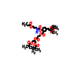 C=CC(=O)OCCCNC(=O)OC1CCC(CC[Si](OC)(OC)OC)CC1C(=O)OCCC(=O)OC(COC(=O)C(=C)C)COC(=O)C(=C)C